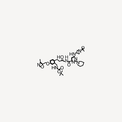 CC(=O)N1CC(Nc2cc(C(=O)NC[C@@H](O)CCc3ccc(OCc4ocnc4C)cc3CNC(=O)OC(C)(C)C)nc(N3CCCCC3)n2)C1